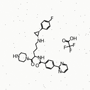 O=C(NC(CCCN[C@@H]1C[C@H]1c1ccc(F)cc1)C(=O)N1CCNCC1)c1ccc(-c2ncccn2)cc1.O=C(O)C(F)(F)F